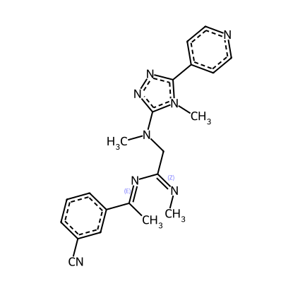 C/N=C(CN(C)c1nnc(-c2ccncc2)n1C)\N=C(/C)c1cccc(C#N)c1